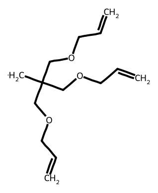 [CH2]C(COCC=C)(COCC=C)COCC=C